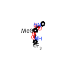 COc1cc(C(=O)C(=O)NC2CCCCC2)ccc1OCC(=O)Nc1ccc(C(F)(F)F)cc1